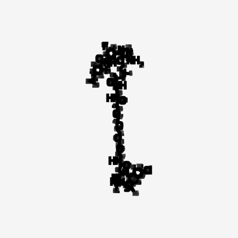 C=C(CN(C)CCOc1c(N)ncnc1-c1cc(F)cc(NC(=O)c2ccc(C3CC3)cc2F)c1C)C(=O)NCCNC(=O)CCOCCOCCOCCOCCNC(=O)CC1N=C(c2ccc(Cl)cc2)c2c(sc(C)c2C)-n2c(C)nnc21